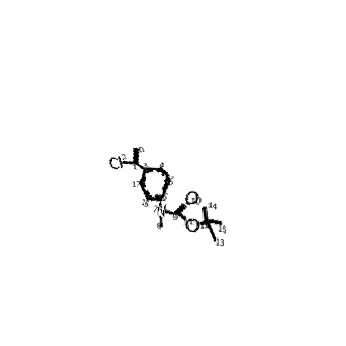 C=C(Cl)c1ccc(N(C)C(=O)OC(C)(C)C)cc1